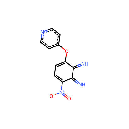 N=C1C(=N)C([N+](=O)[O-])=CC=C1Oc1ccncc1